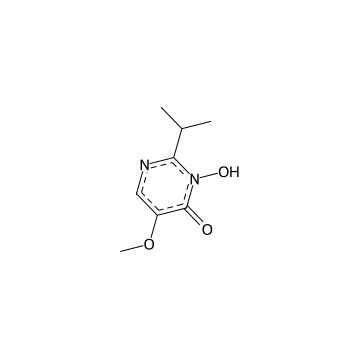 COc1cnc(C(C)C)n(O)c1=O